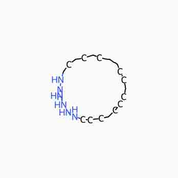 C1CCCCCCCCCNNNNNNCCCCCCCC1